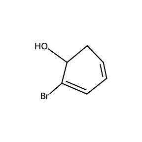 OC1CC=CC=C1Br